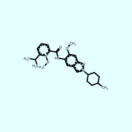 COc1cc2nn(C3CCC(C)CC3)cc2cc1NC(=O)c1cccc(C(C)C)[n+]1OC